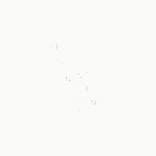 CCn1c(COCCO)nc(Sc2cccc([N+](=O)[O-])c2)c1C(C)C